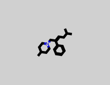 CC(C)C/C=C(/CN1CCC(C)CC1)c1ccccc1